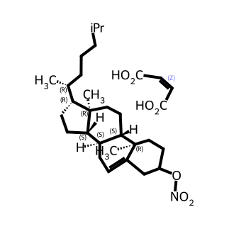 CC(C)CCC[C@@H](C)[C@H]1CC[C@H]2[C@@H]3CC=C4CC(O[N+](=O)[O-])CC[C@]4(C)[C@H]3CC[C@]12C.O=C(O)/C=C\C(=O)O